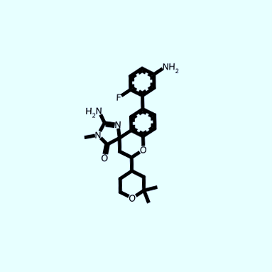 CN1C(=O)C2(CC(C3CCOC(C)(C)C3)Oc3ccc(-c4cc(N)ccc4F)cc32)N=C1N